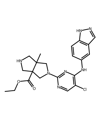 CCOC(=O)C12CNCC1(C)CN(c1ncc(Cl)c(Nc3ccc4[nH]ncc4c3)n1)C2